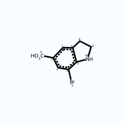 O=C(O)c1cc(Br)c2c(c1)CCN2